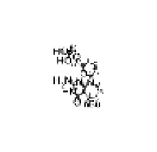 CCCCC1CC=CN([C@H]2CSC[C@@H](COP(=O)(O)O)O2)c2nc(N)[nH]c(=O)c21